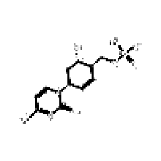 Nc1ccn([C@@H]2C=C[C@H](COP(=O)(O)O)[C@@H](O)C2)c(=O)n1